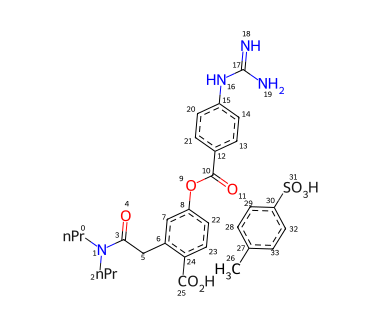 CCCN(CCC)C(=O)Cc1cc(OC(=O)c2ccc(NC(=N)N)cc2)ccc1C(=O)O.Cc1ccc(S(=O)(=O)O)cc1